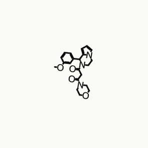 COc1cccc(C2c3cccn3CCN2C(=O)CC(=O)N2CCOCC2)c1